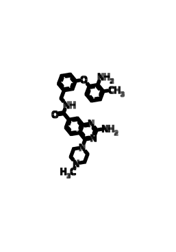 Cc1cccc(Oc2cccc(CNC(=O)c3ccc4c(N5CCN(C)CC5)nc(N)nc4c3)c2)c1N